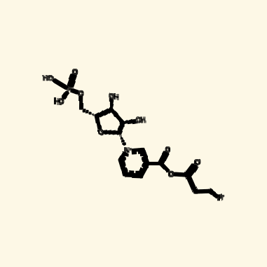 CC(C)CCC(=O)OC(=O)c1ccc[n+]([C@@H]2O[C@H](COP(=O)(O)O)[C@@H](O)[C@H]2O)c1